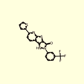 O=c1c2sc3nc(-c4cccs4)ccc3c2[nH]n1-c1cccc(C(F)(F)F)c1